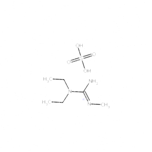 CCN(CC)/C(N)=N/C.O=S(=O)(O)O